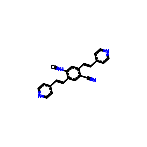 [C-]#[N+]c1cc(/C=C/c2ccncc2)c(C#N)cc1/C=C/c1ccncc1